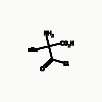 CCCCC(N)(C(=O)O)C(=O)CC